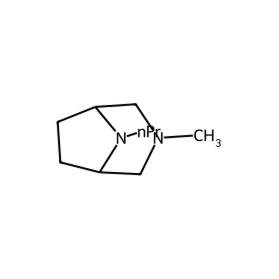 CCCN1C2CCC1CN(C)C2